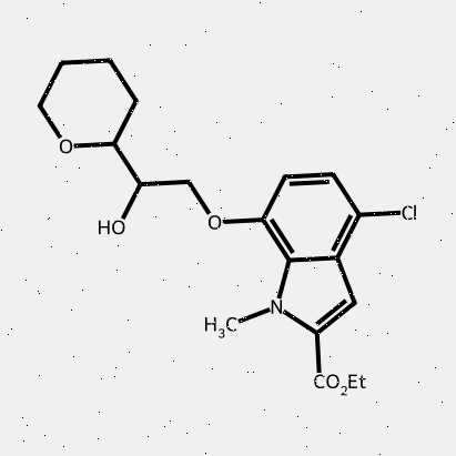 CCOC(=O)c1cc2c(Cl)ccc(OCC(O)C3CCCCO3)c2n1C